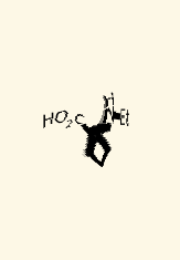 CCNC1(C(=O)O)CCC1